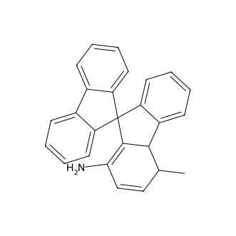 CC1C=CC(N)=C2C1c1ccccc1C21c2ccccc2-c2ccccc21